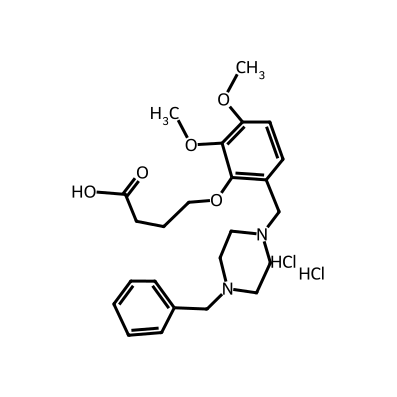 COc1ccc(CN2CCN(Cc3ccccc3)CC2)c(OCCCC(=O)O)c1OC.Cl.Cl